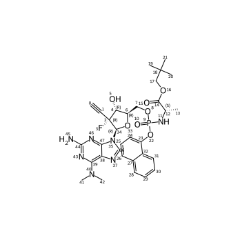 C#C[C@@]1(F)[C@H](O)[C@@H](COP(=O)(N[C@@H](C)C(=O)OCC(C)(C)C)Oc2cccc3ccccc23)O[C@H]1n1cnc2c(N(C)C)nc(N)nc21